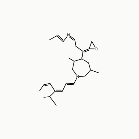 C\C=C/C(=C\C=C\N1CC(C)CN(/C(C/C=N\C=C\C)=C2/CO2)C(C)C1)C(C)C